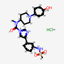 CN(C(=O)n1cnc(-c2cccc(NS(C)(=O)=O)c2)c1)C1CCN(c2ccc(O)cc2)CC1.Cl